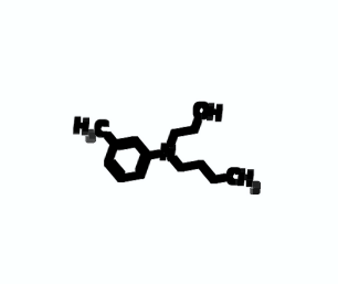 CCCCN(CCO)c1cccc(C)c1